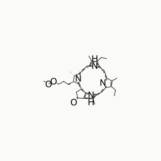 CCC1=C(C)c2cc3[nH]c(cc4nc(c5c6[nH]c(cc1n2)c(C)c6C(=O)C5)[C@@H](CCCOOC)[C@@H]4C)c(C)c3CC